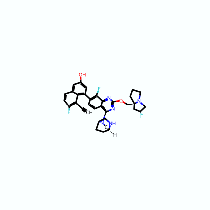 C#Cc1c(F)ccc2cc(O)cc(-c3ccc4c(N5C[C@@H]6CCC5CN6)nc(OC[C@@]56CCCN5C[C@H](F)C6)nc4c3F)c12